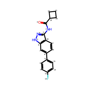 O=C(Nc1n[nH]c2cc(-c3ccc(F)cc3)ccc12)C1CCC1